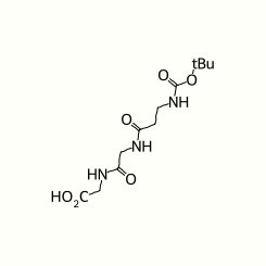 CC(C)(C)OC(=O)NCCC(=O)NCC(=O)NCC(=O)O